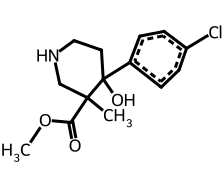 COC(=O)C1(C)CNCCC1(O)c1ccc(Cl)cc1